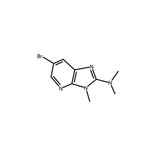 CN(C)c1nc2cc(Br)cnc2n1C